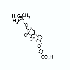 C[Si](C)(C)CCOCn1ncc(N2CCC(COC3CC(C(=O)O)C3)C2)c(C(F)(F)F)c1=O